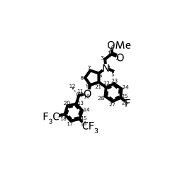 COC(=O)CN(C)C1CCC(O[C@@H](C)c2cc(C(F)(F)F)cc(C(F)(F)F)c2)C1c1ccc(F)cc1